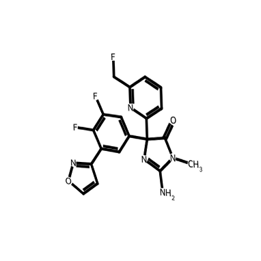 CN1C(=O)C(c2cc(F)c(F)c(-c3ccon3)c2)(c2cccc(CF)n2)N=C1N